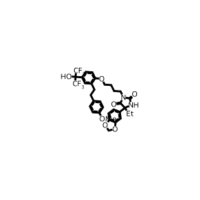 CCC1(c2ccc3c(c2)OCO3)NC(=O)N(CCCCOc2ccc(C(O)(C(F)(F)F)C(F)(F)F)cc2CCc2ccc(OC)cc2)C1=O